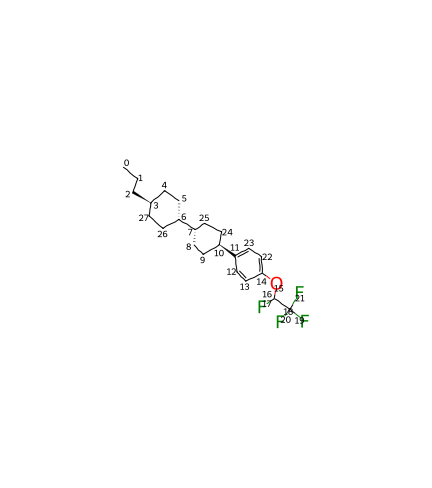 CCC[C@H]1CC[C@H]([C@H]2CC[C@H](c3ccc(OC(F)C(F)(F)F)cc3)CC2)CC1